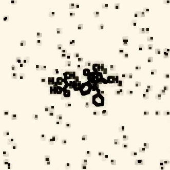 C/C=C(\C=C(\C)C(C)=O)c1nc2cc(CNC(C(=O)O)C(C)C)ccc2n1CC1CCCCC1